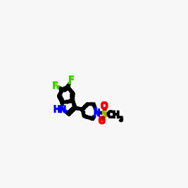 CS(=O)(=O)N1CCC(c2c[nH]c3cc(F)c(F)cc23)CC1